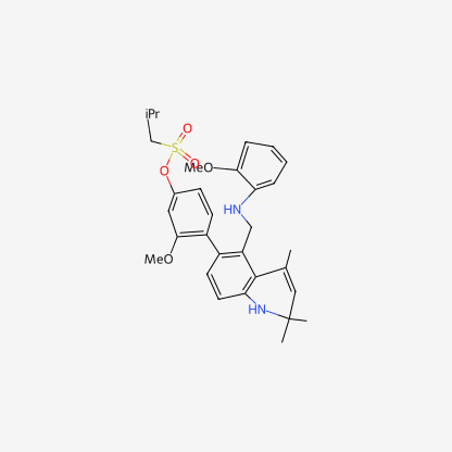 COc1ccccc1NCc1c(-c2ccc(OS(=O)(=O)CC(C)C)cc2OC)ccc2c1C(C)=CC(C)(C)N2